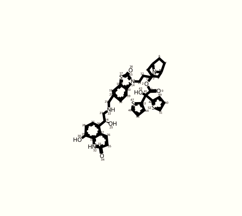 O=C(OC1CC2CCC(C1)N2CCCn1c(=O)sc2cc(CNC[C@H](O)c3ccc(O)c4[nH]c(=O)ccc34)ccc21)C(O)(c1cccs1)c1cccs1